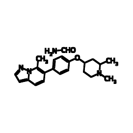 Cc1c(-c2ccc(OC3CCN(C)C(C)C3)cc2)ccc2ccnn12.NC=O